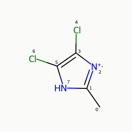 CC1=[N+]C(Cl)=C(Cl)N1